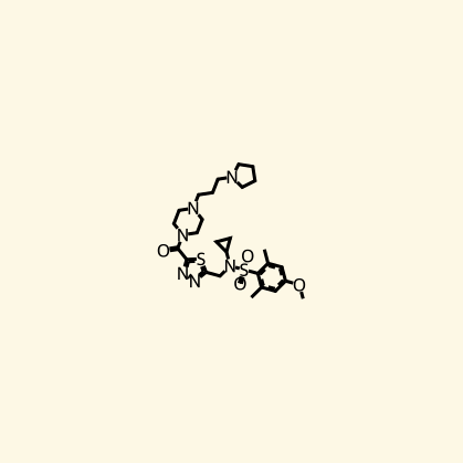 COc1cc(C)c(S(=O)(=O)N(Cc2nnc(C(=O)N3CCN(CCCN4CCCC4)CC3)s2)C2CC2)c(C)c1